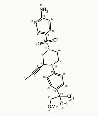 CC#C[C@H]1CN(S(=O)(=O)c2ccc(N)nc2)CCN1c1ccc(C(O)(COC)C(F)(F)F)cc1